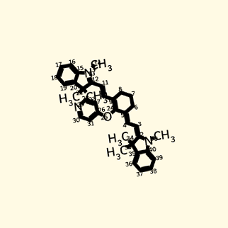 CN1/C(=C/C=C2\CCCC(/C=C/C3=[N+](C)c4ccccc4C3(C)C)=C2Oc2ccncc2)C(C)(C)c2ccccc21